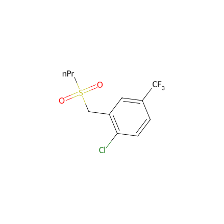 CCCS(=O)(=O)Cc1cc(C(F)(F)F)ccc1Cl